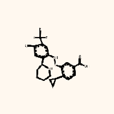 O=C(O)c1ccc(C2CC2)c(SNc2cc(C(F)(F)F)c(Cl)cc2C2CCCCN2)c1